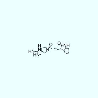 N=C1NCC2(CCN(C(=O)CCCC3C(=O)Nc4ccccc43)CC2)N1